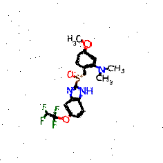 COc1ccc(C[S+]([O-])c2nc3cc(OC(F)(F)C(F)F)ccc3[nH]2)c(N(C)C)c1